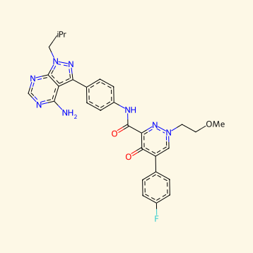 COCCn1cc(-c2ccc(F)cc2)c(=O)c(C(=O)Nc2ccc(-c3nn(CC(C)C)c4ncnc(N)c34)cc2)n1